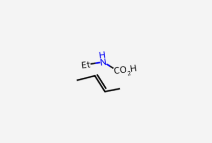 CC=CC.CCNC(=O)O